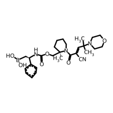 CC(C)(C=C(C#N)C(=O)N1CCCC[C@]1(C)COC(=O)N[C@H](CB(O)O)c1ccccc1)N1CCOCC1